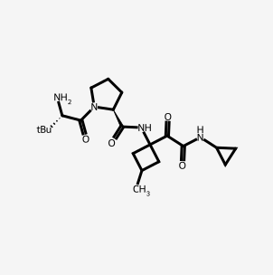 CC1CC(NC(=O)[C@@H]2CCCN2C(=O)[C@@H](N)C(C)(C)C)(C(=O)C(=O)NC2CC2)C1